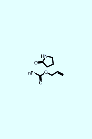 C=CCOC(=O)CCC.O=C1CCCN1